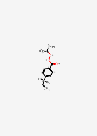 C=C[Si](CC)(CC)c1ccc(C(=O)OO[C](C)CCCCCC)cc1